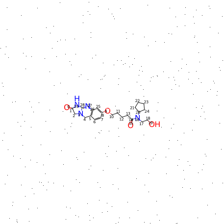 O=C1CN2Cc3ccc(OCCCCC(=O)N(CCO)C4CCCC4)cc3N=C2N1